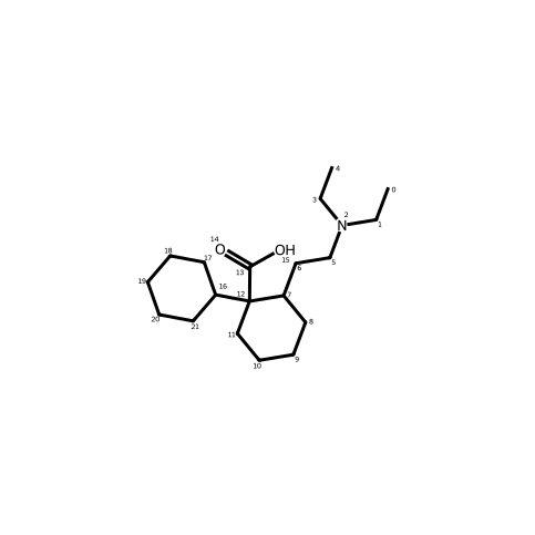 CCN(CC)CCC1CCCCC1(C(=O)O)C1CCCCC1